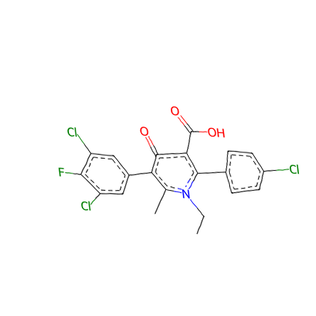 CCn1c(C)c(-c2cc(Cl)c(F)c(Cl)c2)c(=O)c(C(=O)O)c1-c1ccc(Cl)cc1